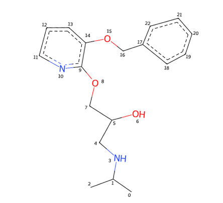 CC(C)NCC(O)COc1ncccc1OCc1ccccc1